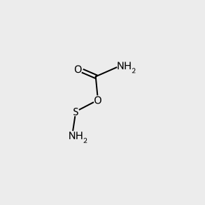 NSOC(N)=O